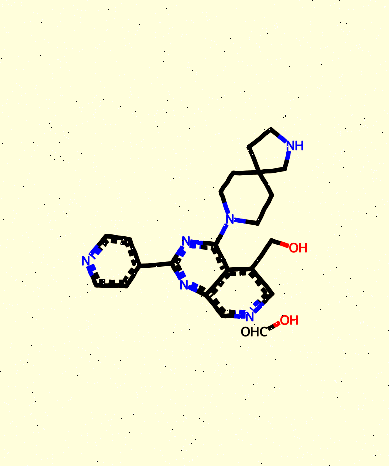 O=CO.OCc1cncc2nc(-c3ccncc3)nc(N3CCC4(CCNC4)CC3)c12